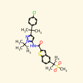 CC(C)(c1ccc(Cl)cc1)c1cc(NC(=O)c2cc3cc(C(C)(C)S(C)(=O)=O)ccc3s2)n(C(C)(C)C)n1